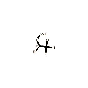 CC[C@@H](SSC)C(Cl)(Cl)Cl